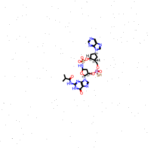 CC(C)C(=O)Nc1nc2c(ncn2[C@@H]2OC3C[C@H]2OP(=O)(S)OC[C@H]2C[C@@H](n4cnc5cncnc54)C[C@@H]2OS(=O)(=O)N3)c(=O)[nH]1